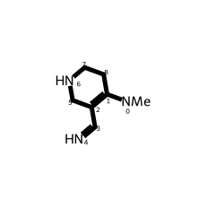 CNC1=C(C=N)CNCC1